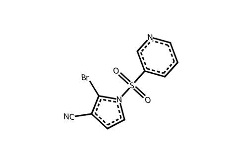 N#Cc1ccn(S(=O)(=O)c2cccnc2)c1Br